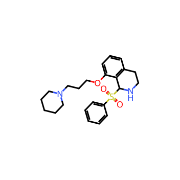 O=S(=O)(c1ccccc1)C1NCCc2cccc(OCCCN3CCCCC3)c21